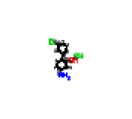 Cl.Nc1ccc(-c2cccc(Cl)c2)c(O)c1